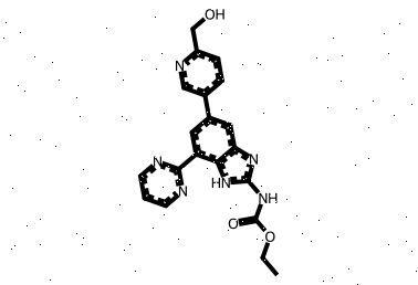 CCOC(=O)Nc1nc2cc(-c3ccc(CO)nc3)cc(-c3ncccn3)c2[nH]1